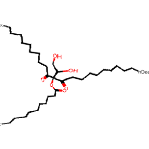 CCCCCCCCCCCCCCCCCCCC(=O)OC(C(=O)CCCCCCCCCCCCCCCCCCC)(C(=O)CCCCCCCCCCCCCCCCCCC)C(O)CO